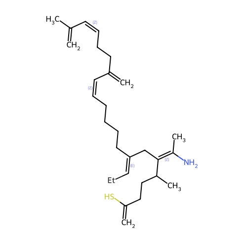 C=C(C)/C=C\CCC(=C)/C=C\CCCC/C(=C\CC)C/C(=C(\C)N)C(C)CCC(=C)S